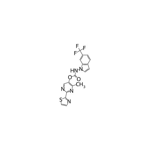 Cc1nc(-c2nccs2)ncc1OC(=O)Nn1ccc2ccc(C(F)(F)F)cc21